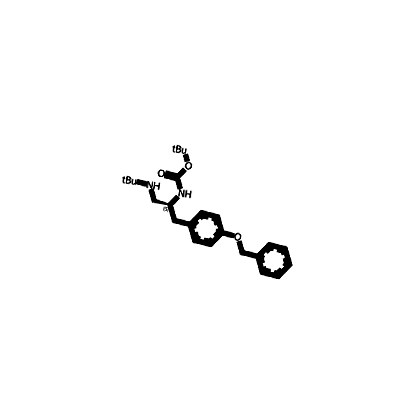 CC(C)(C)NC[C@H](Cc1ccc(OCc2ccccc2)cc1)NC(=O)OC(C)(C)C